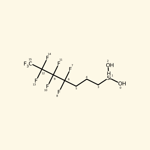 O[SiH](O)CCCC(F)(F)C(F)(F)C(F)(F)C(F)(F)F